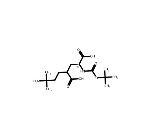 CC(C)(N)CCC(C[C@H](NC(=O)OC(C)(C)C)C(=O)O)C(=O)O